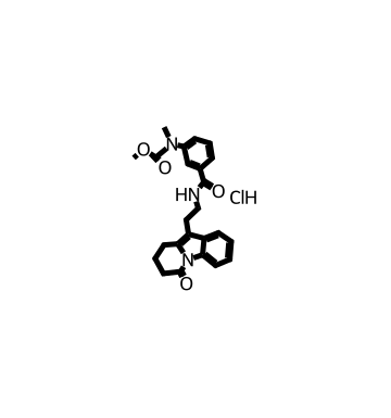 COC(=O)N(C)c1cccc(C(=O)NCCc2c3n(c4ccccc24)C(=O)CCC3)c1.Cl